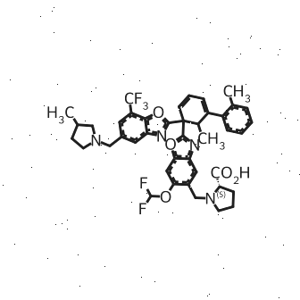 Cc1ccccc1C1=CC=CC(c2nc3cc(CN4CCC[C@H]4C(=O)O)c(OC(F)F)cc3o2)(c2nc3cc(CN4CCC(C)C4)cc(C(F)(F)F)c3o2)C1C